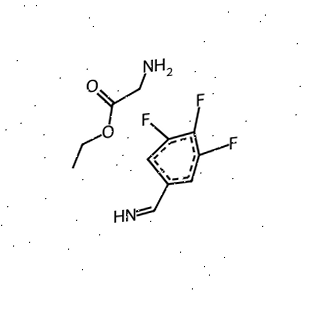 CCOC(=O)CN.N=Cc1cc(F)c(F)c(F)c1